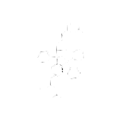 CC(=O)OC(C)C=CCC(C)(C)[Si](O[Si](c1ccccc1)(c1ccccc1)C(C)(C)CC=CC(C)OC(C)=O)(c1ccccc1)c1ccccc1